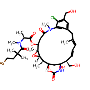 C/C1=C\C=C\[C@@H](CO)[C@@]2(O)C[C@H](OC(=O)N2)[C@@H](C)[C@@H]2O[C@@]2(C)[C@@H](OC(=O)[C@H](C)N(C)C(=O)C(C)(C)CCSC(C)C)CC(=O)N(C)c2cc(cc(CO)c2Cl)C1